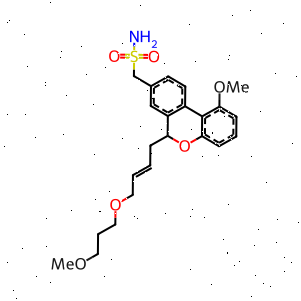 COCCCOCC=CCC1Oc2cccc(OC)c2-c2ccc(CS(N)(=O)=O)cc21